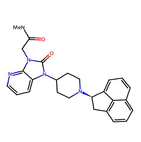 CNC(=O)Cn1c(=O)n(C2CCN([C@@H]3Cc4cccc5cccc3c45)CC2)c2cccnc21